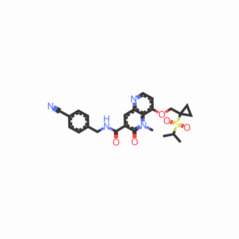 CC(C)S(=O)(=O)C1(COc2ccnc3cc(C(=O)NCc4ccc(C#N)cc4)c(=O)n(C)c23)CC1